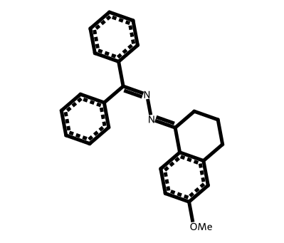 COc1ccc2c(c1)CCCC2=NN=C(c1ccccc1)c1ccccc1